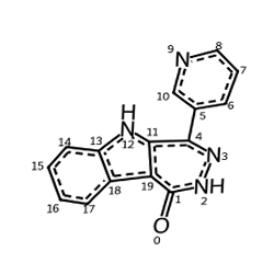 O=c1[nH]nc(-c2cccnc2)c2[nH]c3ccccc3c12